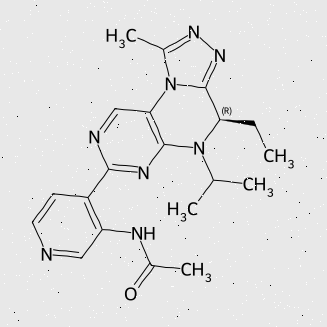 CC[C@@H]1c2nnc(C)n2-c2cnc(-c3ccncc3NC(C)=O)nc2N1C(C)C